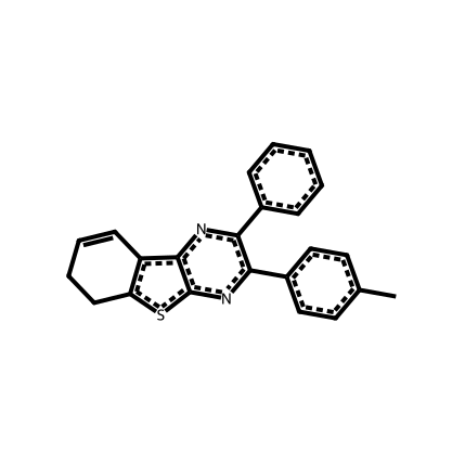 Cc1ccc(-c2nc3sc4c(c3nc2-c2ccccc2)C=CCC4)cc1